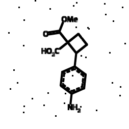 COC(=O)C1(C(=O)O)CCC1c1ccc(N)cc1